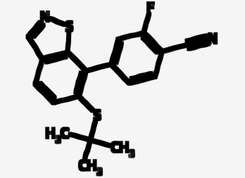 CC(C)(C)Sc1ccc2cnsc2c1-c1ccc(C#N)c(F)c1